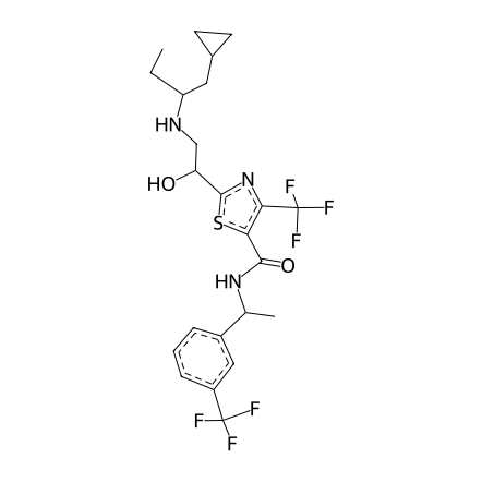 CCC(CC1CC1)NCC(O)c1nc(C(F)(F)F)c(C(=O)NC(C)c2cccc(C(F)(F)F)c2)s1